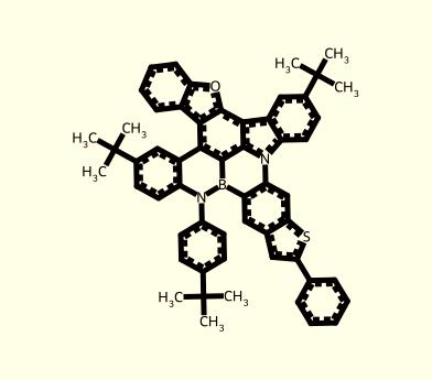 CC(C)(C)c1ccc(N2B3c4cc5cc(-c6ccccc6)sc5cc4-n4c5ccc(C(C)(C)C)cc5c5c6oc7ccccc7c6c(c3c54)-c3cc(C(C)(C)C)ccc32)cc1